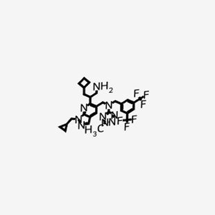 Cn1nnc(N(Cc2cc(C(F)(F)F)cc(C(F)(F)F)c2)Cc2cc3cnn(CC4CC4)c3nc2C(CN)CC2CCC2)n1